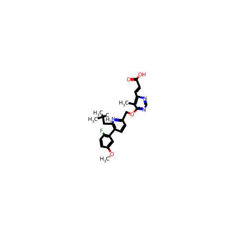 COc1ccc(F)c(-c2ccc(COc3ncnc(/C=C/C(=O)O)c3C)nc2CC(C)(C)C)c1